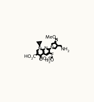 CO/N=C1\CN(c2nc3c(cc2F)c(=O)c(C(=O)O)cn3C2CC2)CC1CN.CS(=O)(=O)O.O